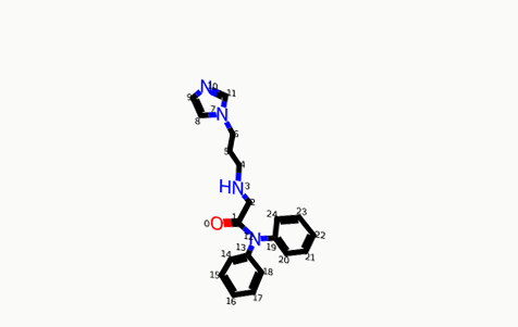 O=C(CNCCCn1ccnc1)N(c1ccccc1)c1ccccc1